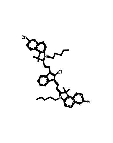 CCCCCN1/C(=C/C=C2C(Cl)=C(/C=C/C3=[N+](CCCCC)c4ccc5cc(Br)ccc5c4C3(C)C)c3ccccc3/2)C(C)(C)c2c1ccc1cc(Br)ccc21